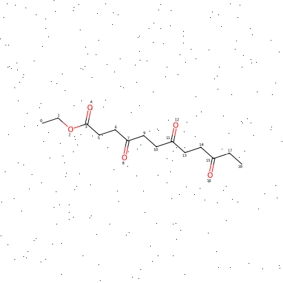 CCOC(=O)CCC(=O)CCC(=O)CCC(=O)CC